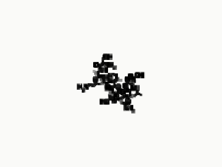 CC[C@H](C)[C@H](NC(=O)[C@H](CCCCN)NC(=O)[C@H](C)NC(=O)[C@@H](N)CO)C(=O)N[C@@H](CC(=O)O)C(=O)N[C@@H](CC(N)=O)C(=O)N[C@@H](CC(C)C)C(=O)N[C@@H](CC(=O)O)C(=O)O